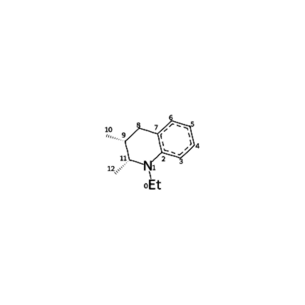 CCN1c2ccccc2C[C@@H](C)[C@H]1C